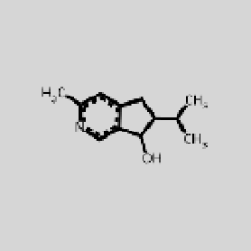 Cc1cc2c(cn1)C(O)C(C(C)C)C2